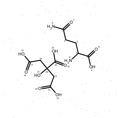 NC(=O)CCC(N)C(=O)O.O=C(O)CC(O)(CC(=O)O)C(=O)O